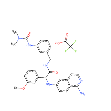 CCOc1cccc(C(Nc2ccc3c(N)nccc3c2)C(=O)NCc2cccc(NC(=O)N(C)C)c2)c1.O=C(O)C(F)(F)F